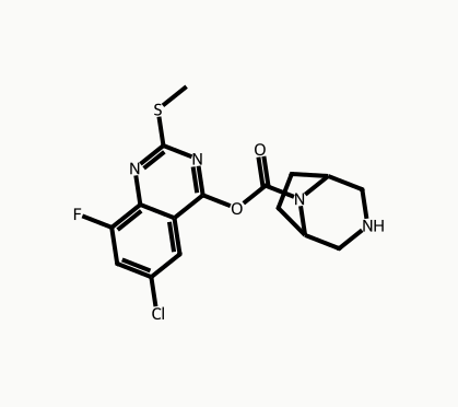 CSc1nc(OC(=O)N2C3CCC2CNC3)c2cc(Cl)cc(F)c2n1